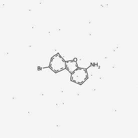 Nc1cccc2c1oc1ccc(Br)cc12